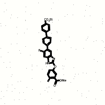 CCOC(=O)c1ccc(-c2ccc(-c3cc4nc(Oc5ccc(C)c(C(=O)OC)c5)[nH]c4cc3F)cc2)cc1